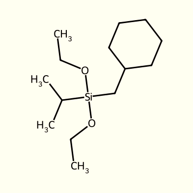 CCO[Si](CC1CCCCC1)(OCC)C(C)C